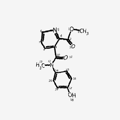 COC(=O)c1ncccc1C(=O)N(C)c1ccc(O)cc1